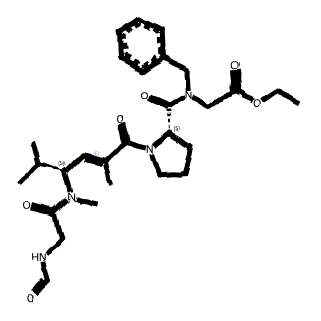 CCOC(=O)CN(Cc1ccccc1)C(=O)[C@@H]1CCCN1C(=O)/C(C)=C/[C@H](C(C)C)N(C)C(=O)CNC=O